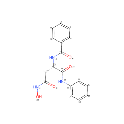 O=C(C[C@H](NC(=O)c1ccccc1)C(=O)Nc1ccccc1)NO